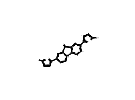 O=C1c2cc(-c3ccc(Br)s3)ccc2-c2ccc(-c3ccc(Br)s3)cc21